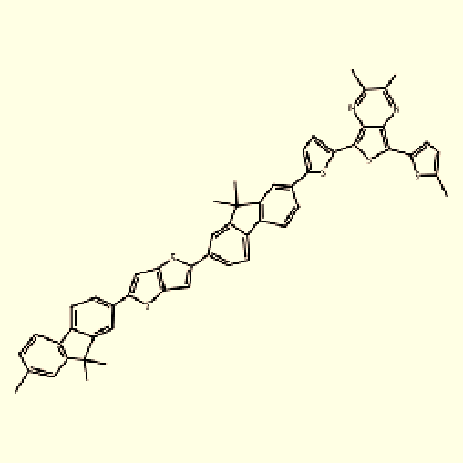 Cc1ccc2c(c1)C(C)(C)c1cc(-c3cc4sc(-c5ccc6c(c5)C(C)(C)c5cc(-c7ccc(-c8sc(-c9ccc(C)s9)c9nc(C)c(C)nc89)s7)ccc5-6)cc4s3)ccc1-2